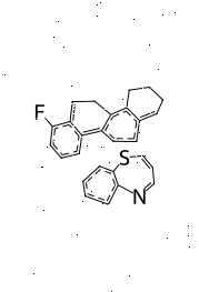 C1=CSc2ccccc2N=C1.Fc1cccc2c1=CCc1c3c(ccc1=2)=CCCC3